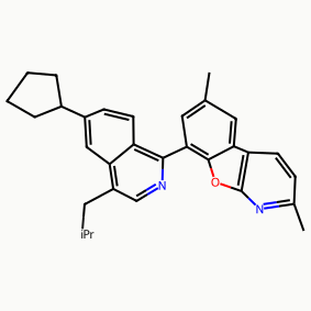 Cc1cc(-c2ncc(CC(C)C)c3cc(C4CCCC4)ccc23)c2oc3nc(C)ccc3c2c1